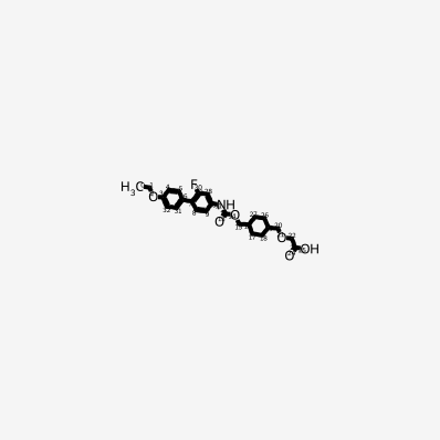 CCOc1ccc(-c2ccc(NC(=O)OCC3CCC(COCC(=O)O)CC3)cc2F)cc1